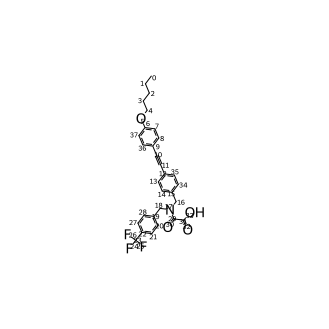 CCCCCOc1ccc(C#Cc2ccc(CN(Cc3ccc(C(F)(F)F)cc3)C(=O)C(=O)O)cc2)cc1